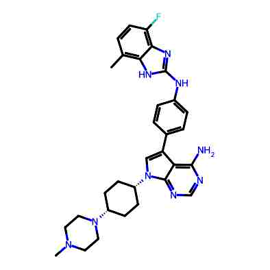 Cc1ccc(F)c2nc(Nc3ccc(-c4cn([C@H]5CC[C@@H](N6CCN(C)CC6)CC5)c5ncnc(N)c45)cc3)[nH]c12